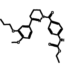 CCCOc1cc(C2=NN(C(=O)c3ccc(NC(=O)OCC)cc3)CCC2)ccc1OC